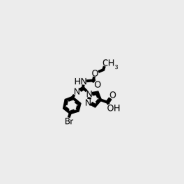 CCOC(=O)NC(=Nc1ccc(Br)cc1)n1cc(C(=O)O)cn1